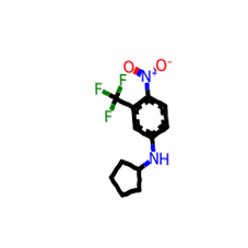 O=[N+]([O-])c1ccc(NC2CCCC2)cc1C(F)(F)F